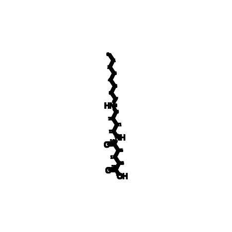 CCCCCCCCNCCCCNC(=O)CCCC(=O)O